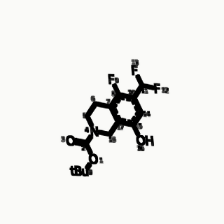 CC(C)(C)OC(=O)N1CCc2c(F)c(C(F)F)cc(O)c2C1